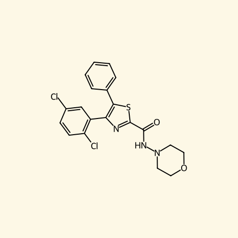 O=C(NN1CCOCC1)c1nc(-c2cc(Cl)ccc2Cl)c(-c2ccccc2)s1